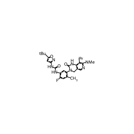 CNc1ncc2c(c1C(C)C)NC(=O)N(c1cc(NC(=O)Nc3cc(C(C)(C)C)on3)c(F)cc1C)C2